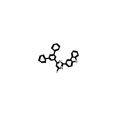 Ic1cc(-c2cc(-c3ccccc3)cc(-c3ccccc3)c2)nc(-c2ccc3sc4ccccc4c3c2)n1